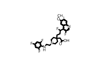 COc1ccc2ncc(F)c(C(F)CCC3(CC(=O)O)CCN(CCNc4c(F)cc(F)cc4F)CC3)c2c1